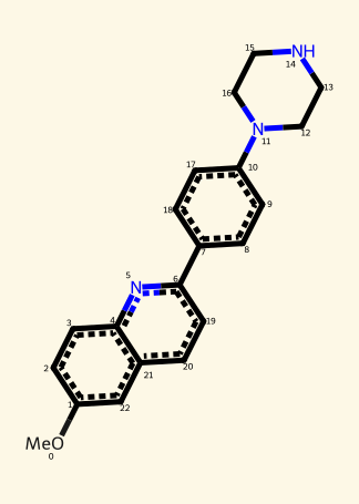 COc1ccc2nc(-c3ccc(N4CCNCC4)cc3)ccc2c1